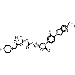 CC(OC(=O)CN1CCNCC1)OC(=O)NC[C@H]1CN(c2ccc(N3Cc4cn(C)nc4C3)c(F)c2)C(=O)O1